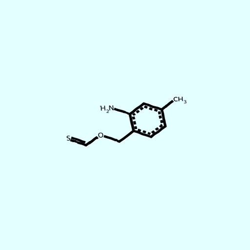 Cc1ccc(COC=S)c(N)c1